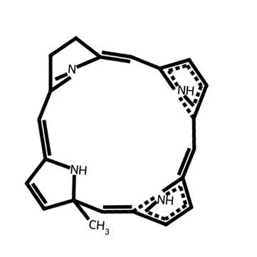 CC12C=C/C(=C/C3=NC(=C\c4ccc([nH]4)/C=c4/cc/c([nH]4)=C/1)/CC3)N2